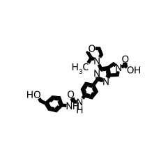 CC1COCCN1c1nc(-c2ccc(NC(=O)Nc3ccc(CO)cc3)cc2)nc2c1CN(C(=O)O)C2